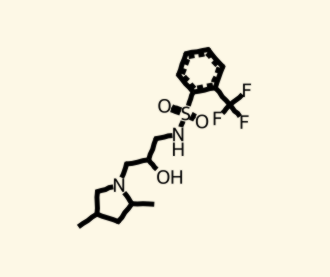 CC1CC(C)N(CC(O)CNS(=O)(=O)c2ccccc2C(F)(F)F)C1